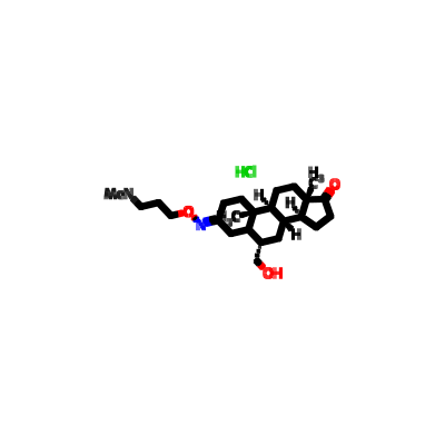 CNCCCON=C1CC[C@@]2(C)C(C1)[C@@H](CO)C[C@@H]1[C@@H]2CC[C@]2(C)C(=O)CC[C@@H]12.Cl